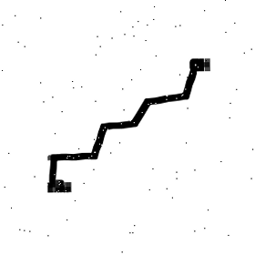 CCCC[CH]CCCCCO